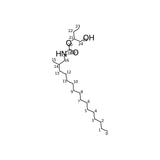 CCCCCCCCCCCCCCC(C)CNC(=O)OC(CC)CO